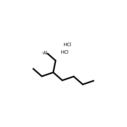 CCCCC(CC)[CH2][Al].Cl.Cl